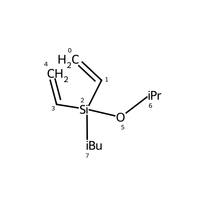 C=C[Si](C=C)(OC(C)C)C(C)CC